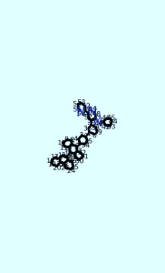 C1=C(c2ccc(-c3c4ccccc4c(-c4cc5ccccc5c5ccccc45)c4ccccc34)cc2)CC2C(=C1)N(c1ccccc1)c1cnc(-c3ccccn3)cc12